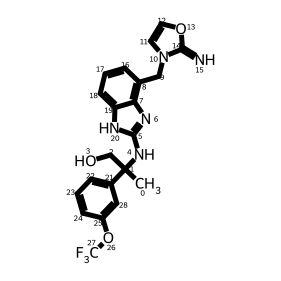 CC(CO)(Nc1nc2c(Cn3ccoc3=N)cccc2[nH]1)c1cccc(OC(F)(F)F)c1